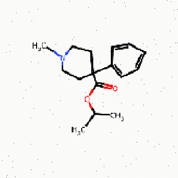 CC(C)OC(=O)C1(c2ccccc2)CCN(C)CC1